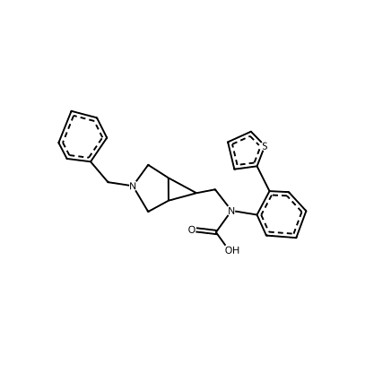 O=C(O)N(CC1C2CN(Cc3ccccc3)CC21)c1ccccc1-c1cccs1